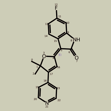 CC1(C)O/C(=C2/C(=O)Nc3cc(F)ccc32)C=C1c1ccncc1